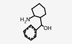 NC1CCCCC1C(O)c1ccccc1